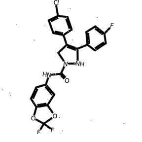 O=C(Nc1ccc2c(c1)OC(F)(F)O2)N1CC(c2ccc(Cl)cc2)=C(c2ccc(F)cc2)N1